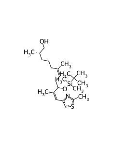 CC(=CCC(O[Si](C)(C)C(C)(C)C)C(C)=Cc1csc(C)n1)CCC[C@H](C)CO